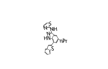 CCCc1cc(-c2cc3ccccc3s2)c2[nH]nc(Nc3nccs3)c2c1